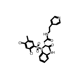 Cc1cc(S(=O)(=O)N2c3ccccc3NC(=O)[C@H]2CC(=O)NCCc2ccncc2)c(Cl)cc1Cl